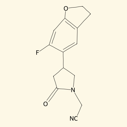 N#CCN1CC(c2cc3c(cc2F)OCC3)CC1=O